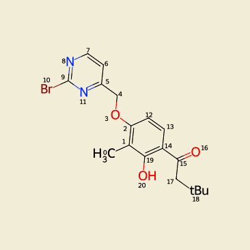 Cc1c(OCc2ccnc(Br)n2)ccc(C(=O)CC(C)(C)C)c1O